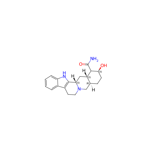 NC(=O)C1[C@H]2C[C@H]3c4[nH]c5ccccc5c4CCN3C[C@@H]2CC[C@@H]1O